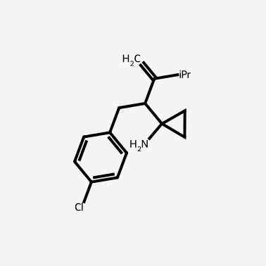 C=C(C(C)C)C(Cc1ccc(Cl)cc1)C1(N)CC1